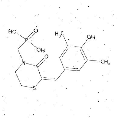 Cc1cc(/C=C2/SCCN(CP(=O)(O)O)C2=O)cc(C)c1O